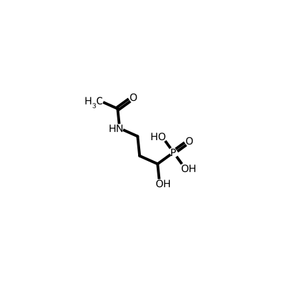 CC(=O)NCCC(O)P(=O)(O)O